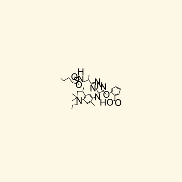 CCCCS(=O)(=O)NCC(C)c1nc2n(n1)N=C(Oc1ccccc1C(=O)O)/C2=N/c1cc2c(cc1C)N(CCC)C(C)(C)CC2C